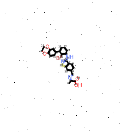 CC(N=Cc1ccc2c(Nc3cccc(-c4ccc5c(c4)OCCO5)c3Br)nsc2c1)C(=O)O